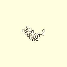 ClOCl.ClOCl.ClOCl.ClOCl.ClOCl.ClOCl